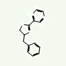 c1ccc(CC2COC(c3cnccn3)=N2)cc1